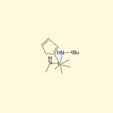 C[SiH](C)[Ti]([CH3])([CH3])([CH3])([CH3])([NH]C(C)(C)C)[C]1=CC=CC1